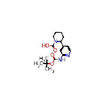 CC(C)(C)OC(=O)Nc1cc(C2CCCCN2C(=O)O)ccn1